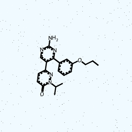 CCCOc1cccc(-c2nc(N)ncc2-c2ccc(=O)n(C(C)C)n2)c1